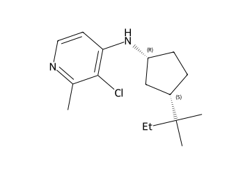 CCC(C)(C)[C@H]1CC[C@@H](Nc2ccnc(C)c2Cl)C1